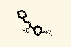 O=[N+]([O-])c1ccc(C(O)N=Cc2ccccc2)cc1